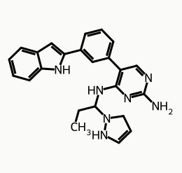 CCC(Nc1nc(N)ncc1-c1cccc(-c2cc3ccccc3[nH]2)c1)N1CC=CN1